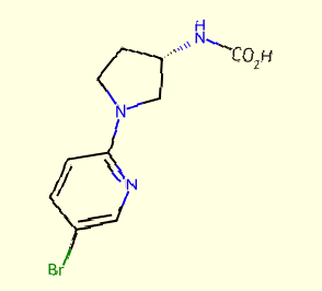 O=C(O)N[C@H]1CCN(c2ccc(Br)cn2)C1